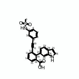 CS(=O)(=O)Nc1cccc(C#Cc2cccc(C(=O)O)c2-c2ccc3cc[nH]c3c2)c1